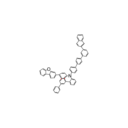 c1ccc(-c2cccc(-c3ccccc3N(c3ccc(-c4ccc(-c5cccc(-c6ccc7ccccc7c6)c5)cc4)cc3)c3ccc(-c4ccc5c(c4)oc4ccccc45)cc3)c2)cc1